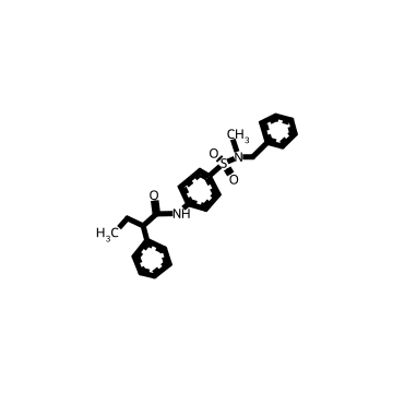 CCC(C(=O)Nc1ccc(S(=O)(=O)N(C)Cc2ccccc2)cc1)c1ccccc1